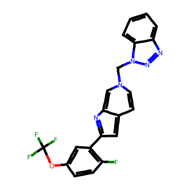 Fc1ccc(OC(F)(F)F)cc1-c1cc2ccn(Cn3nnc4ccccc43)cc-2n1